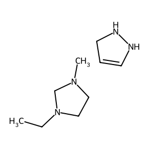 C1=CNNC1.CCN1CCN(C)C1